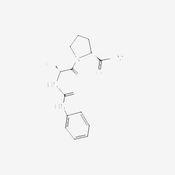 COC(=O)[C@@H]1CCCN1C(=O)[C@@H](NC(=O)Nc1ccccc1)C(C)C